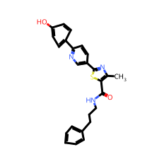 Cc1nc(-c2ccc(-c3ccc(O)cc3)nc2)sc1C(=O)NCCCc1ccccc1